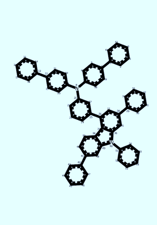 c1ccc(-c2ccc(N(c3ccc(-c4ccccc4)cc3)c3cccc(-c4cc(-c5ccccc5)cc5c4c4ccc(-c6ccccc6)cc4n5-c4ccccc4)c3)cc2)cc1